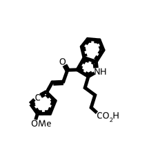 COc1ccc(/C=C/C(=O)c2c(CCCC(=O)O)[nH]c3ccccc23)cc1